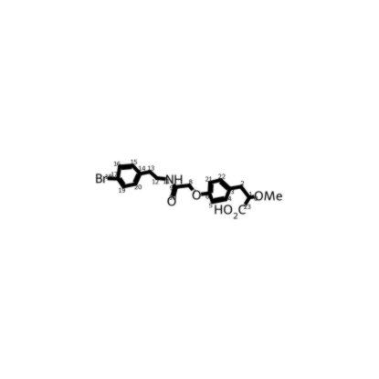 COC(Cc1ccc(OCC(=O)NCCc2ccc(Br)cc2)cc1)C(=O)O